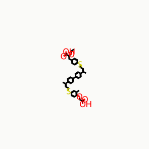 CCOC(Cc1ccc(SC/C=C(/C)c2ccc(-c3ccc(/C(C)=C\CSc4ccc(OCC(=O)O)c(C)c4)cc3)cc2)cc1)C(=O)O